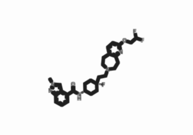 Cn1cc2c(C(=O)N[C@H]3CC[C@](F)(CCN4CCc5ccc(OCC(F)F)nc5CC4)CC3)cccc2n1